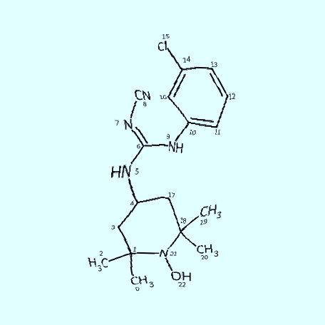 CC1(C)CC(N/C(=N/C#N)Nc2cccc(Cl)c2)CC(C)(C)N1O